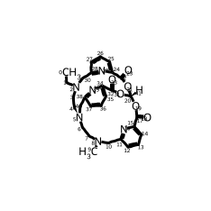 CCN1CC[N@]2CCN(C)Cc3cccc(n3)C(=O)O[C@@H](OC(=O)c3cccc(n3)C1)OC(=O)c1cccc(n1)C2